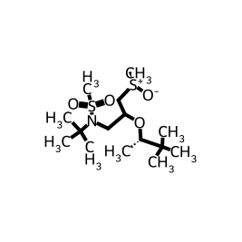 C[C@H](OC(CN(C(C)(C)C)S(C)(=O)=O)C[S@+](C)[O-])C(C)(C)C